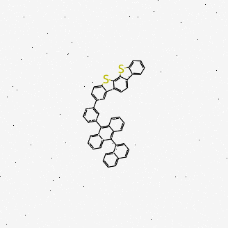 c1cc(-c2ccc3sc4c(ccc5c6ccccc6sc54)c3c2)cc(-c2c3ccccc3c(-c3cccc4ccccc34)c3ccccc23)c1